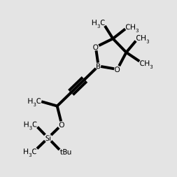 CC(C#CB1OC(C)(C)C(C)(C)O1)O[Si](C)(C)C(C)(C)C